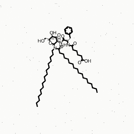 CCCCCCCCCCCCCCCCCCN(C(=O)CCCCCCCCCCCCCCCCC)[C@@H]1O[C@H](CO)[C@@H](O)[C@H](O)[C@H]1NC(=O)[C@H](Cc1ccccc1)NC(=O)CCCCC(=O)O